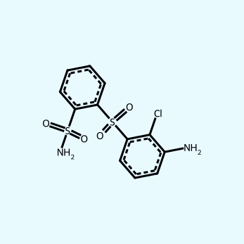 Nc1cccc(S(=O)(=O)c2ccccc2S(N)(=O)=O)c1Cl